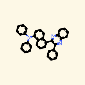 c1ccc(-c2nc3ccccc3nc2-c2cccc3c(N(c4ccccc4)c4ccccc4)cccc23)cc1